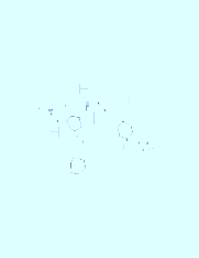 COc1ccc(CC(C)(C)NC[C@@H](O)c2cc(OCc3ccccc3)cc3c2OCC(=O)N3)cc1